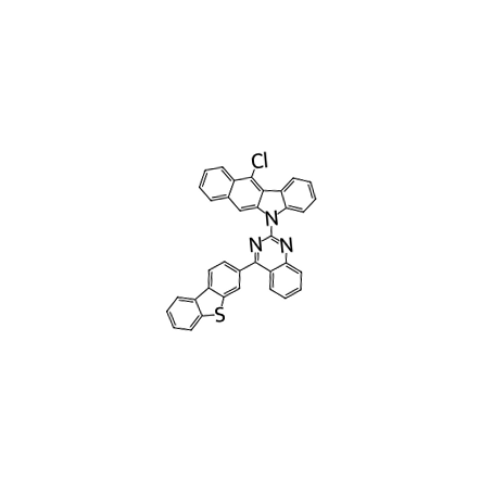 Clc1c2ccccc2cc2c1c1ccccc1n2-c1nc(-c2ccc3c(c2)sc2ccccc23)c2ccccc2n1